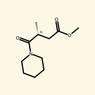 COC(=O)C[C@@H](C)C(=O)N1CCCCC1